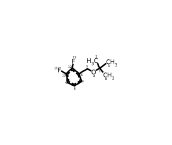 CC(C)(C)OCc1cccc(F)c1F